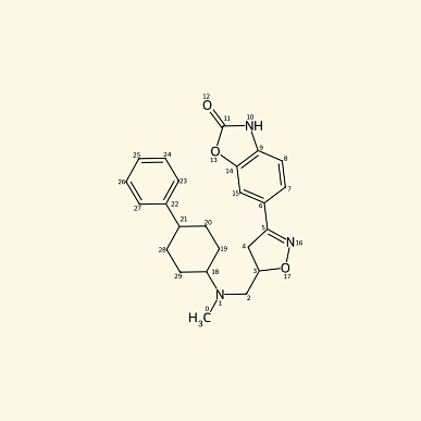 CN(CC1CC(c2ccc3[nH]c(=O)oc3c2)=NO1)C1CCC(c2ccccc2)CC1